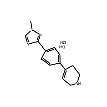 Cl.Cl.Cn1cnc(-c2ccc(C3=CCNCC3)cc2)n1